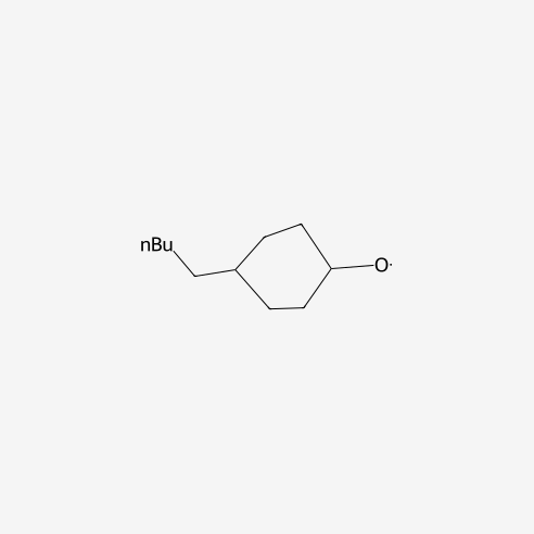 CCCCCC1CCC([O])CC1